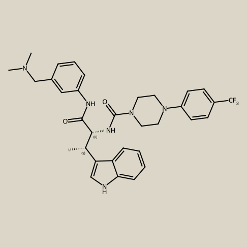 C[C@@H](c1c[nH]c2ccccc12)[C@@H](NC(=O)N1CCN(c2ccc(C(F)(F)F)cc2)CC1)C(=O)Nc1cccc(CN(C)C)c1